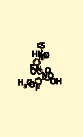 COc1ccc(C(CC(=O)O)N(C=O)C2CC(=O)N(c3cc(N(C=O)NCc4cccs4)ccc3F)C2)cc1F